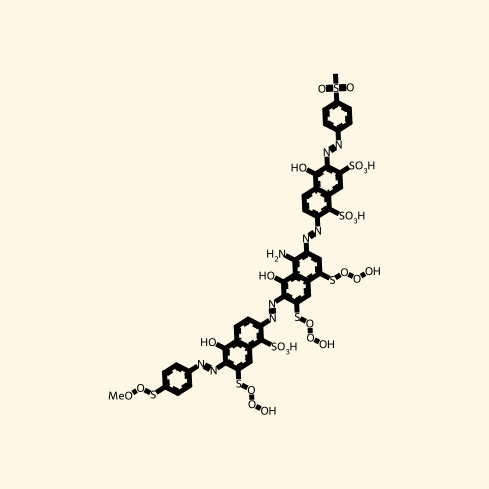 COOSc1ccc(N=Nc2c(SOOO)cc3c(S(=O)(=O)O)c(N=Nc4c(SOOO)cc5c(SOOO)cc(N=Nc6ccc7c(O)c(N=Nc8ccc(S(C)(=O)=O)cc8)c(S(=O)(=O)O)cc7c6S(=O)(=O)O)c(N)c5c4O)ccc3c2O)cc1